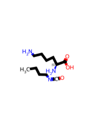 CCCCN=C=O.NCCCC[C@H](N)C(=O)O